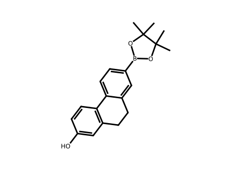 CC1(C)OB(c2ccc3c(c2)CCc2cc(O)ccc2-3)OC1(C)C